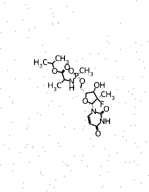 CC(C)OC(=O)[C@H](C)N[P@](C)(=O)OC[C@H]1O[C@@H](n2ccc(=O)[nH]c2=O)[C@](C)(F)[C@@H]1O